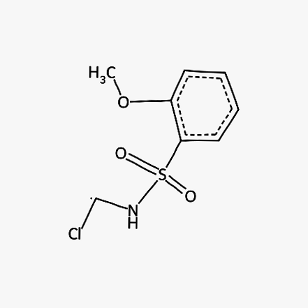 COc1ccccc1S(=O)(=O)N[CH]Cl